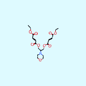 CCOC(=O)/C=C/C(=O)OCC(COC(=O)/C=C/C(=O)OCC)N1CCOCC1